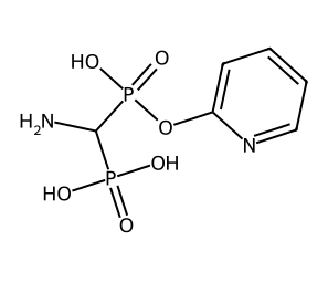 NC(P(=O)(O)O)P(=O)(O)Oc1ccccn1